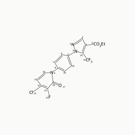 CCOC(=O)c1cnn(-c2ccc(-n3ccc(Cl)c(F)c3=O)cc2)c1C(F)(F)F